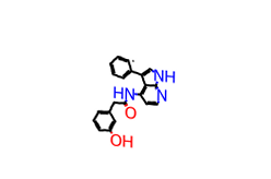 O=C(Cc1cccc(O)c1)Nc1ccnc2[nH]cc(-c3[c]cccc3)c12